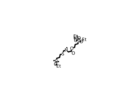 CCO[Si](C)(C)CCCSCN(C)CC(=O)OCCC[Si](OCC)(OCC)OCC